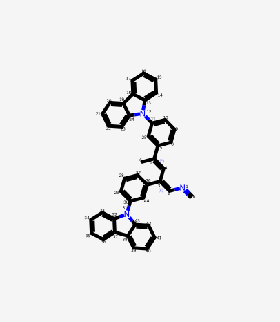 C=N/C=C(\C=C(/C)c1cccc(-n2c3ccccc3c3ccccc32)c1)c1cccc(-n2c3ccccc3c3ccccc32)c1